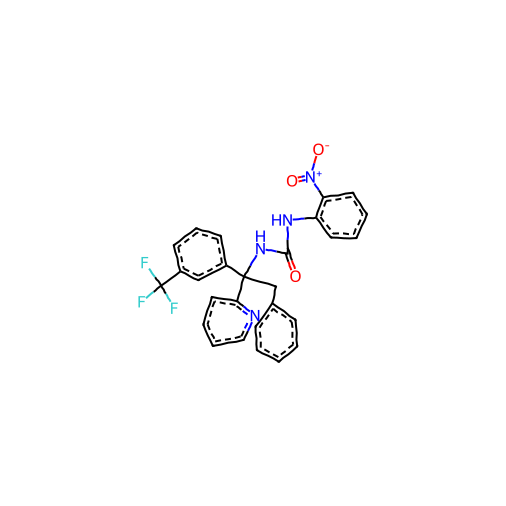 O=C(Nc1ccccc1[N+](=O)[O-])NC(Cc1ccccc1)(c1cccc(C(F)(F)F)c1)c1ccccn1